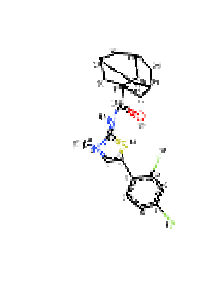 CCn1cc(-c2ccc(F)cc2F)sc1=NC(=O)C12CC3CC(CC(C3)C1)C2